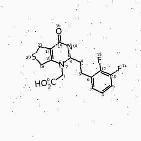 O=C(O)Cn1c(CCc2cccc(F)c2F)nc(=O)c2c1CSC2